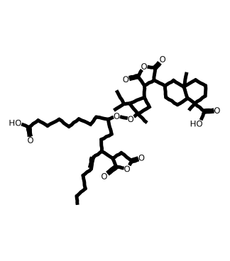 CCCC/C=C/C(CCC(CCCCCCCC(=O)O)OOC1(C)CC(C2C(=O)OC(=O)C2C2CCC3C(C)(CCCC3(C)C(=O)O)C2)C1C(C)C)C1CC(=O)OC1=O